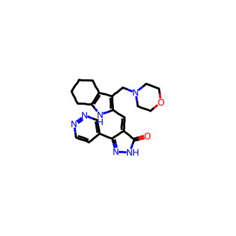 O=C1NN=C(c2ccnnc2)/C1=C\c1[nH]c2c(c1CN1CCOCC1)CCCC2